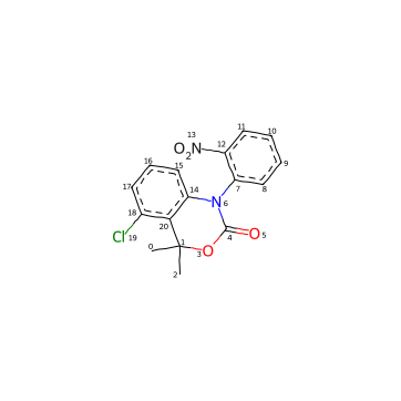 CC1(C)OC(=O)N(c2ccccc2[N+](=O)[O-])c2cccc(Cl)c21